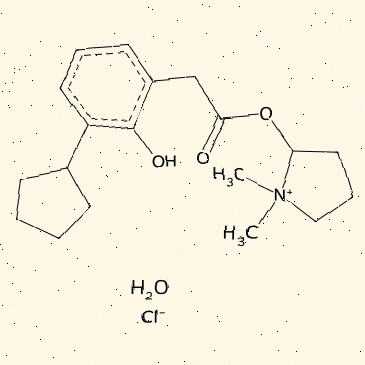 C[N+]1(C)CCCC1OC(=O)Cc1cccc(C2CCCC2)c1O.O.[Cl-]